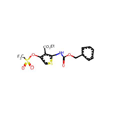 CCOC(=O)c1c(OS(=O)(=O)C(F)(F)F)csc1NC(=O)OCc1ccccc1